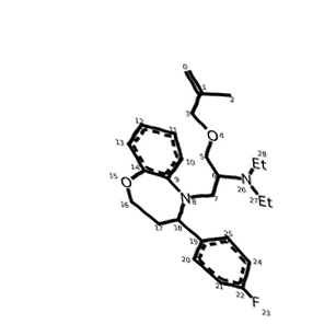 C=C(C)COCC(CN1c2ccccc2OCCC1c1ccc(F)cc1)N(CC)CC